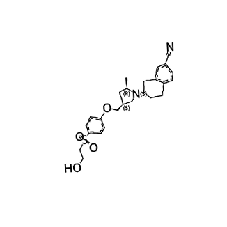 C[C@@H]1C[C@H](COc2ccc(S(=O)(=O)CCO)cc2)CN1[C@H]1CCc2ccc(C#N)cc2C1